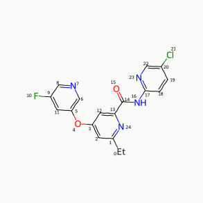 CCc1cc(Oc2cncc(F)c2)cc(C(=O)Nc2ccc(Cl)cn2)n1